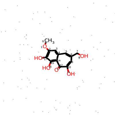 COc1cc2cc(CO)cc(O)c(=O)c2c(O)c1O